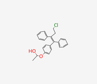 CC(O)Oc1ccc(C(=C(CCCl)c2ccccc2)c2ccccc2)cc1